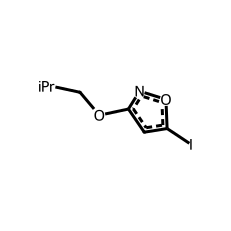 CC(C)COc1cc(I)on1